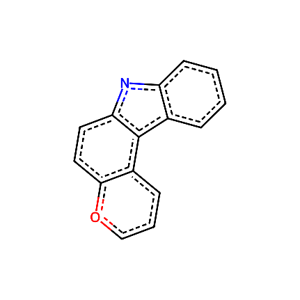 c1ccc2c(c1)nc1ccc3occcc3c12